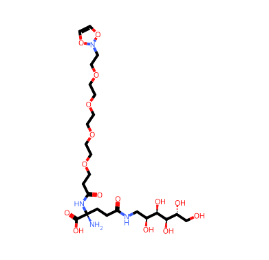 N[C@](CCC(=O)NC[C@H](O)[C@@H](O)[C@H](O)[C@H](O)CO)(NC(=O)CCOCCOCCOCCOCCN1OC=CO1)C(=O)O